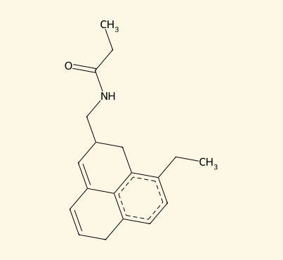 CCC(=O)NCC1C=C2C=CCc3ccc(CC)c(c32)C1